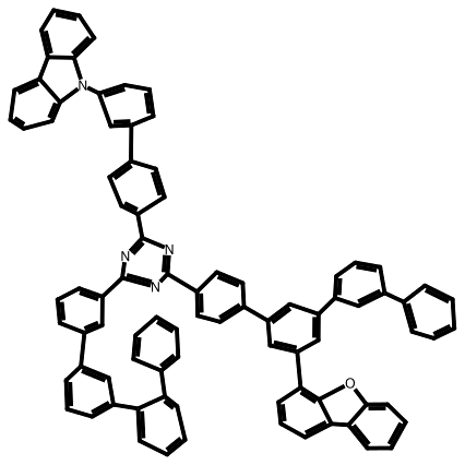 c1ccc(-c2cccc(-c3cc(-c4ccc(-c5nc(-c6ccc(-c7cccc(-n8c9ccccc9c9ccccc98)c7)cc6)nc(-c6cccc(-c7cccc(-c8ccccc8-c8ccccc8)c7)c6)n5)cc4)cc(-c4cccc5c4oc4ccccc45)c3)c2)cc1